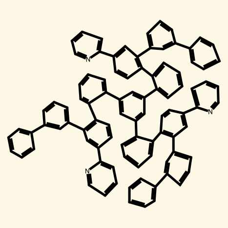 c1ccc(-c2cccc(-c3cc(-c4ccccn4)ccc3-c3ccccc3-c3cc(-c4ccccc4-c4ccc(-c5ccccn5)cc4-c4cccc(-c5ccccc5)c4)cc(-c4ccccc4-c4ccc(-c5ccccn5)cc4-c4cccc(-c5ccccc5)c4)c3)c2)cc1